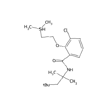 C[SiH](C)CCOc1c(Cl)cccc1C(=O)NC(C)(C)CC(C)(C)C